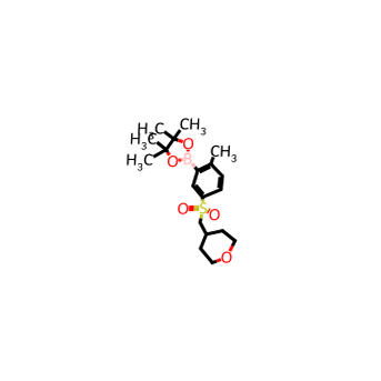 Cc1ccc(S(=O)(=O)CC2CCOCC2)cc1B1OC(C)(C)C(C)(C)O1